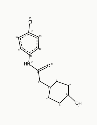 O=C(CC1CCC(O)CC1)Nc1ccc(Cl)cc1